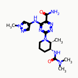 C[C@@H]1[C@H](NC(=O)N(C)C)CCCN1c1nnc(C(N)=O)c(Nc2cnn(C)c2)n1